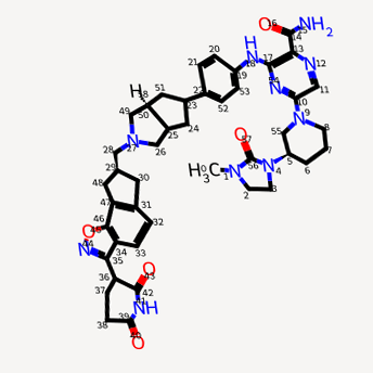 CN1CCN([C@@H]2CCCN(c3cnc(C(N)=O)c(Nc4ccc(C5CC6CN(C[C@H]7Cc8ccc9c(C%10CCC(=O)NC%10=O)noc9c8C7)C[C@H]6C5)cc4)n3)C2)C1=O